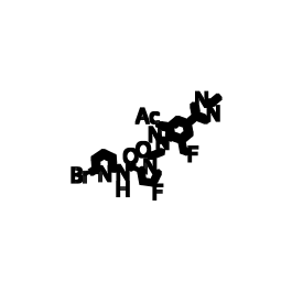 CC(=O)c1nn(CC(=O)N2C[C@H](F)C[C@H]2C(=O)Nc2cccc(Br)n2)c2c(CF)cc(-c3cnc(C)nc3)cc12